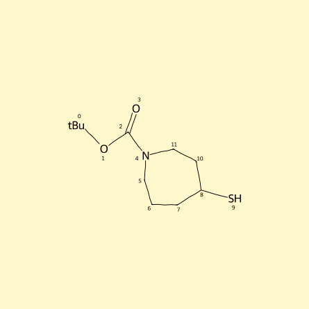 CC(C)(C)OC(=O)N1CCCC(S)CC1